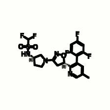 Cc1cnc([C@@H]2CC(N3CC[C@H](NS(=O)(=O)C(F)F)C3)=NO2)c(-c2c(F)cc(F)cc2F)c1